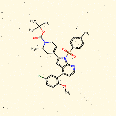 COc1ccc(F)cc1-c1ccnc2c1cc(C1=CCN(C(=O)OC(C)(C)C)[C@@H](C)C1)n2S(=O)(=O)c1ccc(C)cc1